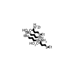 CC(C)(C)CCCC(C)(C)C.CC(C)(C)CCCC(C)(C)C.CCSCC[C@H](N)C(=O)O.CCSCC[C@H](N)C(=O)O.[Zr]